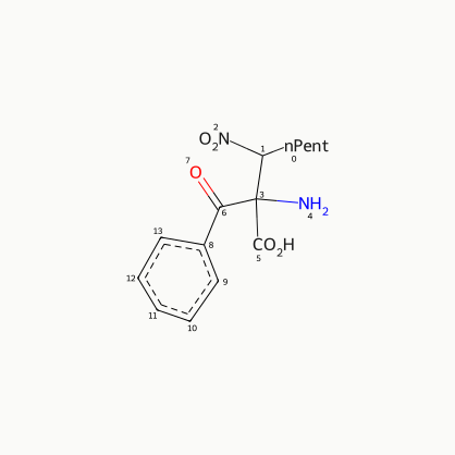 CCCCCC([N+](=O)[O-])C(N)(C(=O)O)C(=O)c1ccccc1